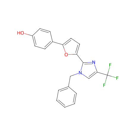 Oc1ccc(-c2ccc(-c3nc(C(F)(F)F)cn3Cc3ccccc3)o2)cc1